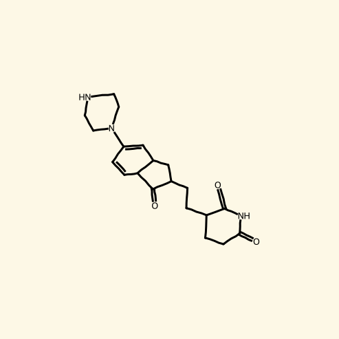 O=C1CCC(CCC2CC3C=C(N4CCNCC4)C=CC3C2=O)C(=O)N1